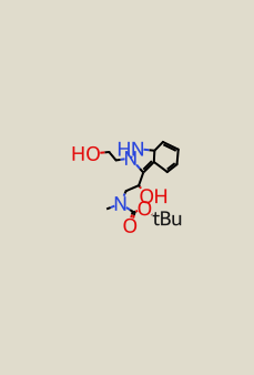 CN(CC(O)C1=C2C=CC=CC2NN1CCO)C(=O)OC(C)(C)C